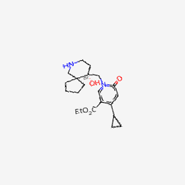 CCOC(=O)c1cn(C[C@]2(O)CCNCC23CCCC3)c(=O)cc1C1CC1